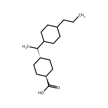 CCCC1CCC(C(C)[C@H]2CC[C@H](C(=O)O)CC2)CC1